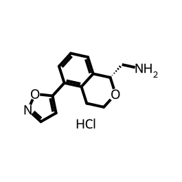 Cl.NC[C@@H]1OCCc2c(-c3ccno3)cccc21